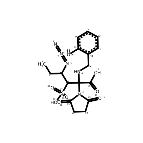 CCC(N=[N+]=[N-])C(C(NCc1ccccc1O)(C(=O)O)N1C(=O)CCC1=O)S(=O)(=O)O